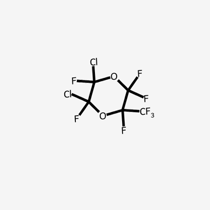 FC(F)(F)C1(F)OC(F)(Cl)C(F)(Cl)OC1(F)F